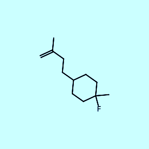 C=C(C)CCC1CCC(C)(F)CC1